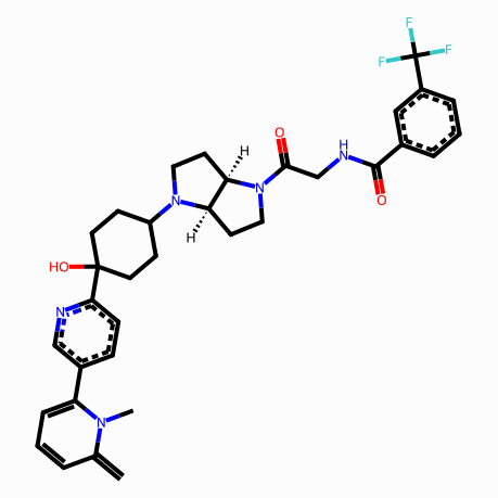 C=C1C=CC=C(c2ccc(C3(O)CCC(N4CC[C@@H]5[C@H]4CCN5C(=O)CNC(=O)c4cccc(C(F)(F)F)c4)CC3)nc2)N1C